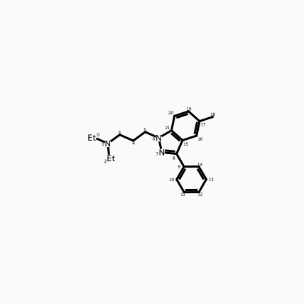 CCN(CC)CCCn1nc(-c2ccccc2)c2cc(C)ccc21